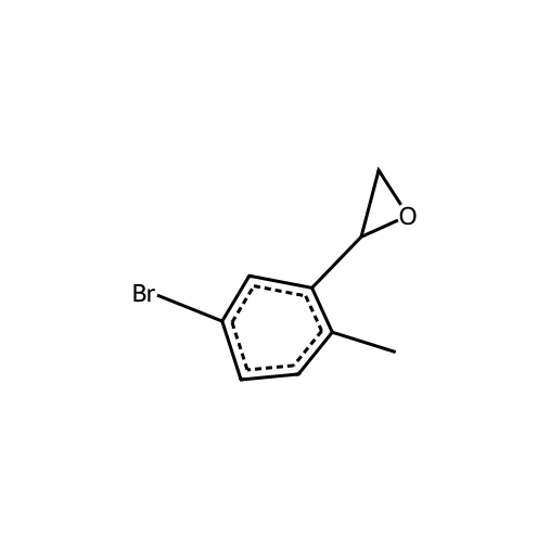 Cc1ccc(Br)cc1C1CO1